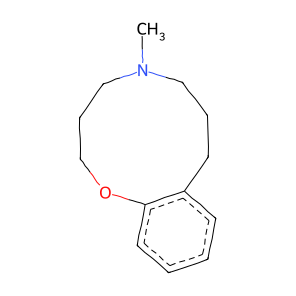 CN1CCCOc2ccccc2CCC1